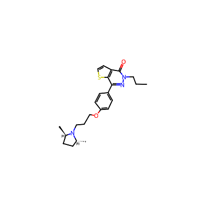 CCCn1nc(-c2ccc(OCCCN3[C@H](C)CC[C@H]3C)cc2)c2sccc2c1=O